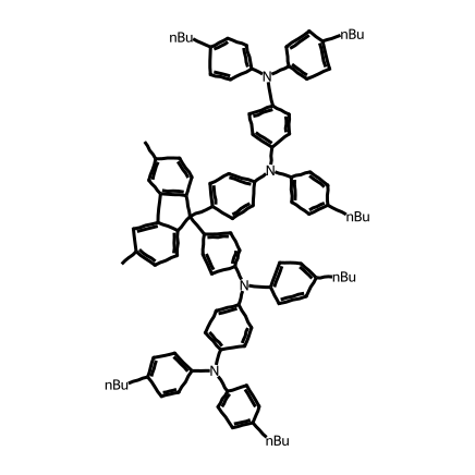 CCCCc1ccc(N(c2ccc(CCCC)cc2)c2ccc(N(c3ccc(CCCC)cc3)c3ccc(C4(c5ccc(N(c6ccc(CCCC)cc6)c6ccc(N(c7ccc(CCCC)cc7)c7ccc(CCCC)cc7)cc6)cc5)c5ccc(C)cc5-c5cc(C)ccc54)cc3)cc2)cc1